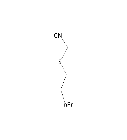 [C-]#[N+]CSCCCCC